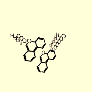 C1=CC2=c3ccccc3=COC2C=C1.C1=CC2=c3ccccc3=COC2C=C1.O.O.O.O.O.O.O.O